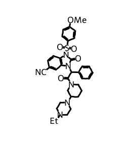 CCN1CCN(C2CCCN(C(=O)C(c3ccccc3)n3c(=O)n(S(=O)(=O)c4ccc(OC)cc4)c4ccc(C#N)cc43)C2)CC1